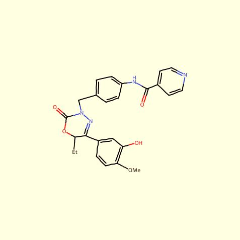 CCC1OC(=O)N(Cc2ccc(NC(=O)c3ccncc3)cc2)N=C1c1ccc(OC)c(O)c1